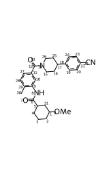 COC1CCCC(C(=O)Nc2cc(C(=O)N3CCC(c4ccc(C#N)cc4)CC3)ccc2C)C1